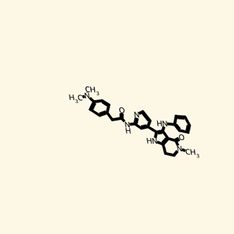 CN1CCc2[nH]c(-c3ccnc(NC(=O)Cc4ccc(N(C)C)cc4)c3)c(Nc3ccccc3)c2C1=O